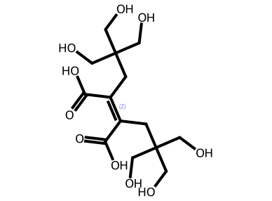 O=C(O)/C(CC(CO)(CO)CO)=C(/CC(CO)(CO)CO)C(=O)O